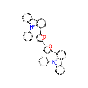 c1ccc(-n2c3ccccc3c3cccc(-c4ccc(-c5ccc(-c6cccc7c8ccccc8n(-c8ccccc8)c67)o5)o4)c32)cc1